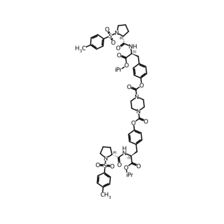 Cc1ccc(S(=O)(=O)N2CCC[C@@H]2C(=O)N[C@@H](Cc2ccc(OC(=O)N3CCN(C(=O)Oc4ccc(C[C@H](NC(=O)[C@H]5CCCN5S(=O)(=O)c5ccc(C)cc5)C(=O)OC(C)C)cc4)CC3)cc2)C(=O)OC(C)C)cc1